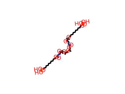 CC(COC(=O)/C=C/C(=O)C(C)(C)OCCCCCCCCCCOP(=O)(O)O)OCC(C)OC(C)(C)C(=O)/C=C/C(=O)OCCCCCCCCCCOP(O)O